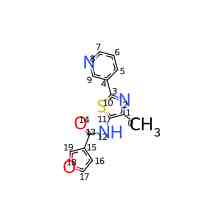 Cc1nc(-c2cccnc2)sc1NC(=O)c1ccoc1